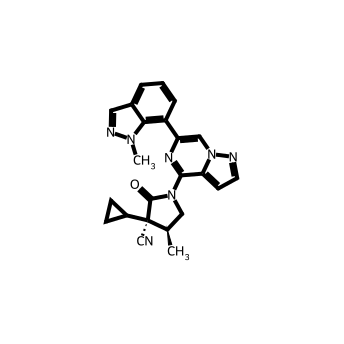 C[C@@H]1CN(c2nc(-c3cccc4cnn(C)c34)cn3nccc23)C(=O)[C@]1(C#N)C1CC1